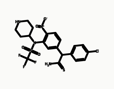 NC(=S)C(c1ccc(Cl)cc1)c1ccc([N+](=O)[O-])c(N(C2CCNCC2)S(=O)(=O)C(F)(F)F)c1